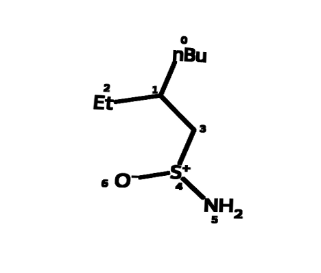 CCCCC(CC)C[S+](N)[O-]